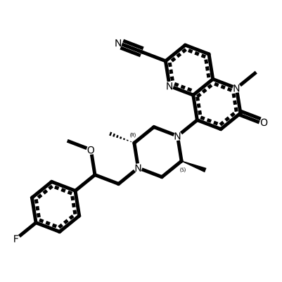 COC(CN1C[C@H](C)N(c2cc(=O)n(C)c3ccc(C#N)nc23)C[C@H]1C)c1ccc(F)cc1